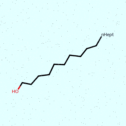 [CH2]CCCCCCCCCCCCCCCCO